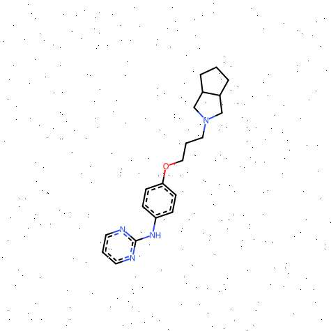 c1cnc(Nc2ccc(OCCCN3CC4CCCC4C3)cc2)nc1